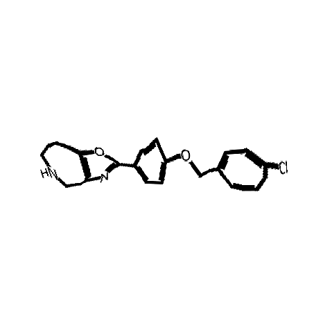 Clc1ccc(COc2ccc(-c3nc4c(o3)CCNC4)cc2)cc1